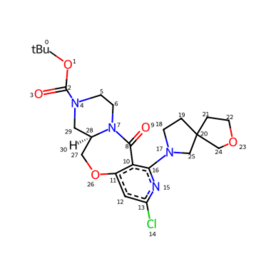 CC(C)(C)OC(=O)N1CCN2C(=O)c3c(cc(Cl)nc3N3CCC4(CCOC4)C3)OC[C@H]2C1